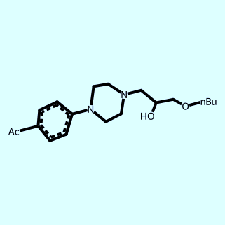 CCCCOCC(O)CN1CCN(c2ccc(C(C)=O)cc2)CC1